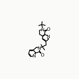 CC(C)(C)N1CCc2cc(CC(C)(C)N3Cc4cccnc4C3=O)cnc2C1=O